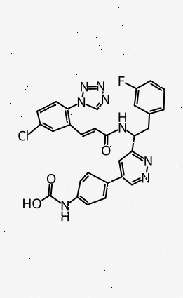 O=C(O)Nc1ccc(-c2cnnc(C(Cc3cccc(F)c3)NC(=O)C=Cc3cc(Cl)ccc3-n3cnnn3)c2)cc1